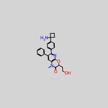 CN1C(=O)C(CCO)Oc2nc(-c3ccc(C4(N)CCC4)cc3)c(-c3ccccc3)cc21